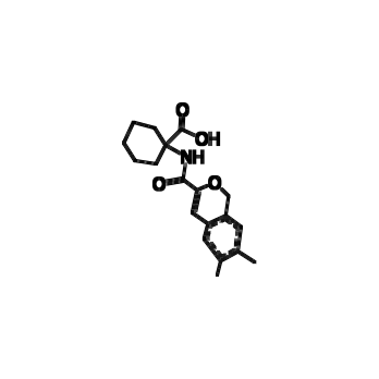 Cc1cc2c(cc1C)COC(C(=O)NC1(C(=O)O)CCCCC1)=C2